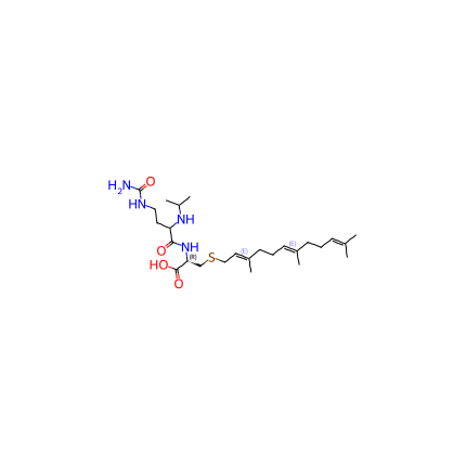 CC(C)=CCC/C(C)=C/CC/C(C)=C/CSC[C@H](NC(=O)C(CCNC(N)=O)NC(C)C)C(=O)O